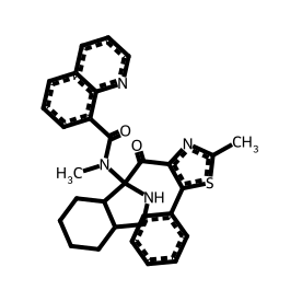 Cc1nc(C(=O)C2(N(C)C(=O)c3cccc4cccnc34)NCC3CCCCC32)c(-c2ccccc2)s1